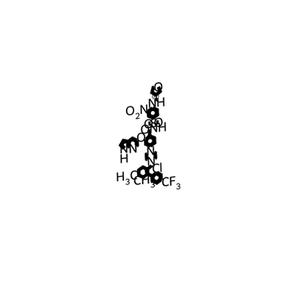 CC1(C)CCC(CN2CCN(c3ccc(C(=O)NS(=O)(=O)c4ccc(NC[C@H]5CCOC5)c([N+](=O)[O-])c4)c(Oc4cnc5[nH]ccc5c4)c3)CC2)=C(c2ccc(C(F)(F)F)cc2Cl)C1